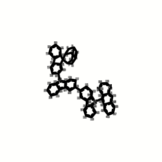 C1=C2CC3CC1CC(C2)C31c2ccccc2-c2ccc(-n3c4ccccc4c4cc(-c5ccc6c(c5)c5ccccc5n6-c5c6ccccc6cc6nccnc56)ccc43)cc21